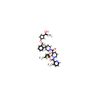 C=C(O)C1CC[C@H](OCc2ccccc2C2(C#N)CCN(C(=O)[C@]3(Oc4csc(C(F)(F)F)c4)CCCN(C(=O)c4ncccc4C(F)(F)F)[C@@H]3CCC)CC2)C1